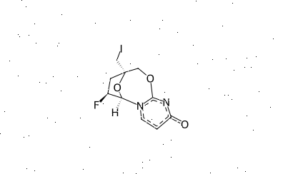 O=c1ccn2c(n1)OC[C@]1(CI)C[C@H](F)[C@H]2O1